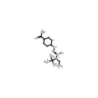 CCN(/[N+]([O-])=N/OC1CCC(C(=O)O)CC1)C(C)(C)C